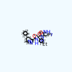 CCc1ccc(C(C)(NC(=O)c2cnn3c2C[C@H](c2ccccc2)CC3(C)C)C(=O)NC(CC(C)C)C(N)=O)cc1